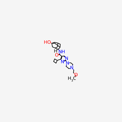 COCCN1CCN(c2ncc(C(=O)N[C@H]3C4CC5CC3C[C@@](O)(C5)C4)c(C3CCC3)n2)CC1